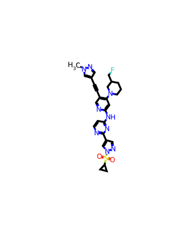 Cn1cc(C#Cc2cnc(Nc3ccnc(-c4cnn(S(=O)(=O)C5CC5)c4)n3)cc2N2CCCC(CF)C2)cn1